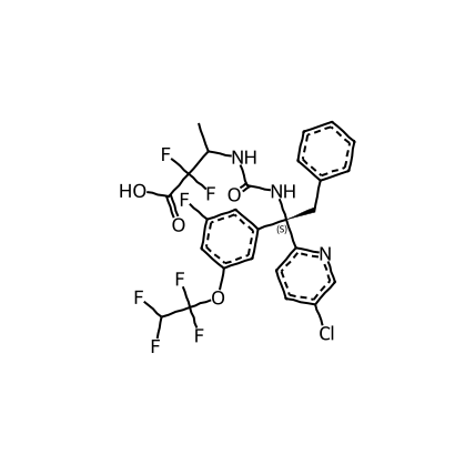 CC(NC(=O)N[C@@](Cc1ccccc1)(c1cc(F)cc(OC(F)(F)C(F)F)c1)c1ccc(Cl)cn1)C(F)(F)C(=O)O